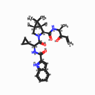 C=CC(=O)[C@H](C)NC(=O)[C@@H]1[C@@H]2[C@H](CN1C(=O)[C@@H](NC(=O)c1cc3ccccc3[nH]1)C1CC1)C2(C)C